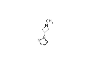 CN1CC(n2cccn2)C1